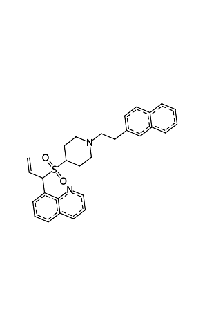 C=CC(c1cccc2cccnc12)S(=O)(=O)C1CCN(CCc2ccc3ccccc3c2)CC1